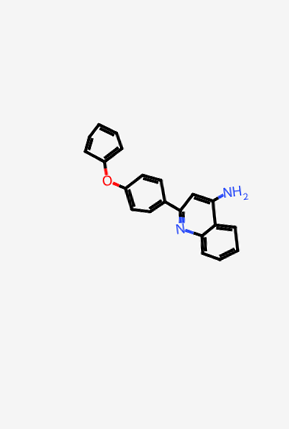 Nc1cc(-c2ccc(Oc3ccccc3)cc2)nc2ccccc12